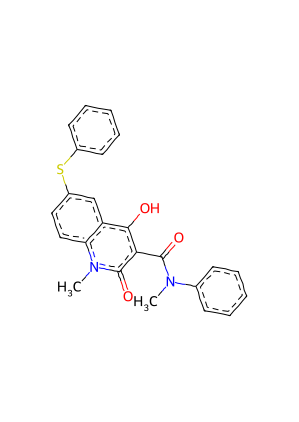 CN(C(=O)c1c(O)c2cc(Sc3ccccc3)ccc2n(C)c1=O)c1ccccc1